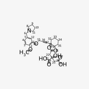 COc1ccc(CN2CCCC2)cc1OCC#CC1(OC(=O)CC(O)(CC(=O)O)C(=O)O)CCCCC1